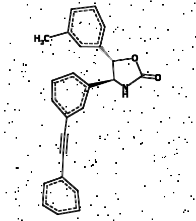 Cc1cccc([C@@H]2OC(=O)N[C@H]2c2cccc(C#Cc3ccccc3)c2)c1